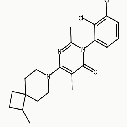 Cc1c(N2CCC3(CCC3C)CC2)nc(C)n(-c2cccc(Cl)c2Cl)c1=O